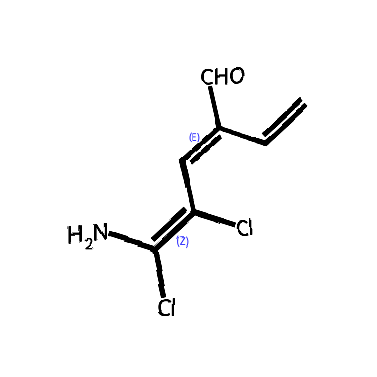 C=C/C(C=O)=C\C(Cl)=C(/N)Cl